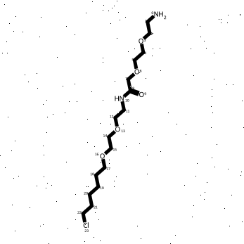 NCCOCCOCC(=O)NCCOCCOCCCCCCCl